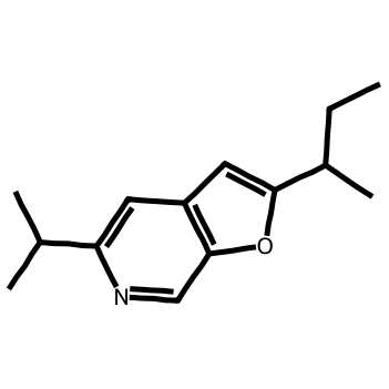 CCC(C)c1cc2cc(C(C)C)ncc2o1